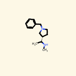 CNC(C)[C@H]1CCN(Cc2ccccc2)C1